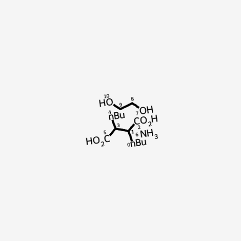 CCCCC(C(=O)O)C(CCCC)C(=O)O.N.OCCO